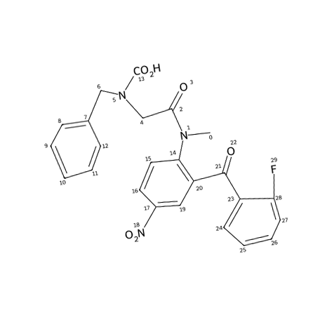 CN(C(=O)CN(Cc1ccccc1)C(=O)O)c1ccc([N+](=O)[O-])cc1C(=O)c1ccccc1F